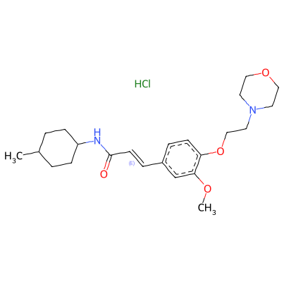 COc1cc(/C=C/C(=O)NC2CCC(C)CC2)ccc1OCCN1CCOCC1.Cl